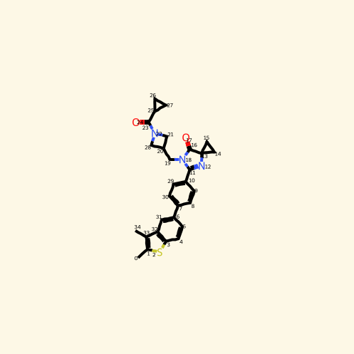 Cc1sc2ccc(-c3ccc(C4=NC5(CC5)C(=O)N4CC4CN(C(=O)C5CC5)C4)cc3)cc2c1C